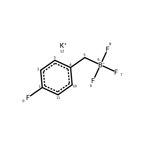 Fc1ccc(C[B-](F)(F)F)cc1.[K+]